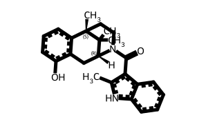 Cc1[nH]c2ccccc2c1C(=O)N1CC[C@@]2(C)c3cccc(O)c3C[C@@H]1C2(C)C